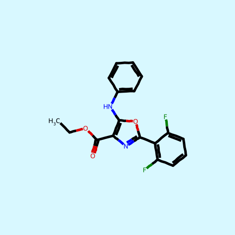 CCOC(=O)c1nc(-c2c(F)cccc2F)oc1Nc1ccccc1